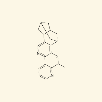 Cc1cc2c3c(cnc2c2cccnc12)C1CC2CC3CC1C2